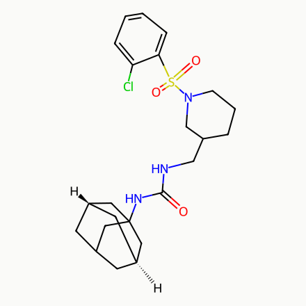 O=C(NCC1CCCN(S(=O)(=O)c2ccccc2Cl)C1)NC12CC3C[C@H](C1)C[C@H](C3)C2